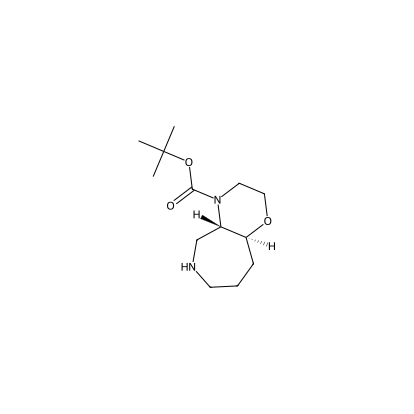 CC(C)(C)OC(=O)N1CCO[C@H]2CCCNC[C@@H]21